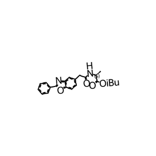 CC(C)COC(=O)[C@H](C)NC(=O)Cc1ccc2oc(-c3ccccc3)nc2c1